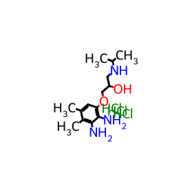 Cc1cc(OCC(O)CNC(C)C)c(N)c(N)c1C.Cl.Cl.Cl